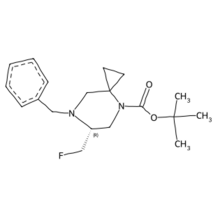 CC(C)(C)OC(=O)N1C[C@H](CF)N(Cc2ccccc2)CC12CC2